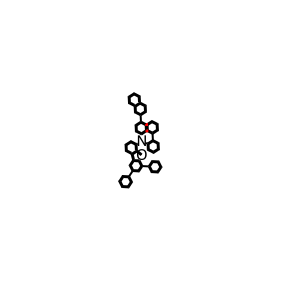 c1ccc(-c2cc(-c3ccccc3)c3oc4c(N(c5ccc(-c6ccc7ccccc7c6)cc5)c5ccccc5-c5ccccc5)cccc4c3c2)cc1